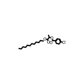 CCCCCCCCCCCCOC(=O)C(C)OC(=O)C1=CC=C(Cl)[CH]C1